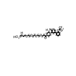 Nc1nnc(-c2ccccc2OC(=O)C(F)(F)F)cc1N1CCN(C(=O)CCOCCOCCOCCOCCNC(=O)O)CC1